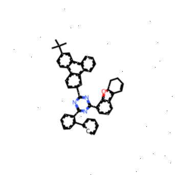 CC(C)(C)c1ccc2c3ccc(-c4nc(-c5ccccc5-c5ccccc5)nc(-c5cccc6c7c(oc56)CCC=C7)n4)cc3c3ccccc3c2c1